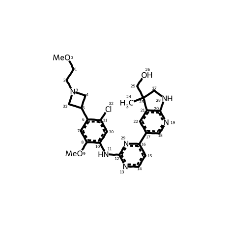 COCCN1CC(c2cc(OC)c(Nc3nccc(-c4cnc5c(c4)C(C)(CO)CN5)n3)cc2Cl)C1